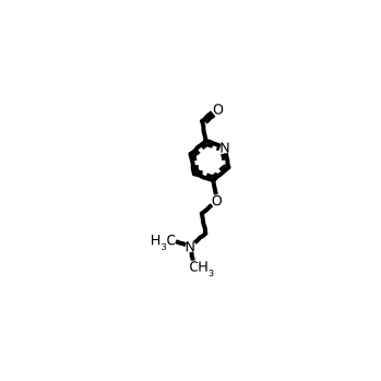 CN(C)CCOc1ccc(C=O)nc1